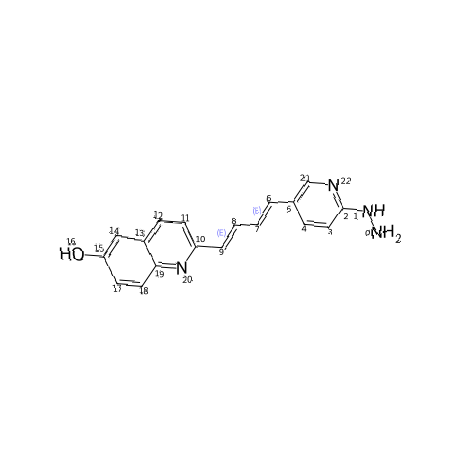 NNc1ccc(/C=C/C=C/c2ccc3cc(O)ccc3n2)cn1